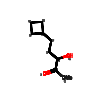 COC(=O)C(O)CCC1CCC1